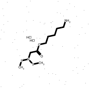 CSN(CC(=O)OCCCCCN)SC.Cl.Cl